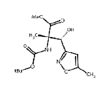 COC(=O)[C@@](C)(NC(=O)OC(C)(C)C)[C@H](O)c1cc(C)on1